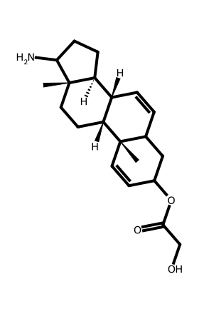 C[C@]12C=CC(OC(=O)CO)CC1C=C[C@@H]1[C@H]2CC[C@]2(C)C(N)CC[C@@H]12